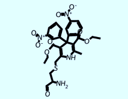 CCOC(=O)C1=C(C)NC(CSCC(N)C=O)=C(C(=O)OCC)C1(c1cccc([N+](=O)[O-])c1)c1cccc([N+](=O)[O-])c1